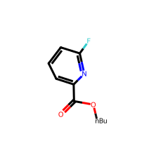 CCCCOC(=O)c1cccc(F)n1